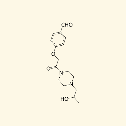 CC(O)CN1CCN(C(=O)COc2ccc(C=O)cc2)CC1